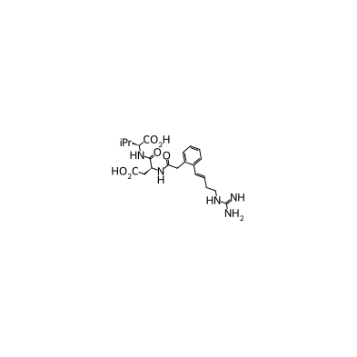 CC(C)[C@H](NC(=O)[C@H](CC(=O)O)NC(=O)Cc1ccccc1/C=C/CCNC(=N)N)C(=O)O